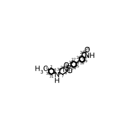 Cc1ccc(NC2CCN(S(=O)(=O)c3ccc(-c4ccc5c(c4)CC(=O)N5)cc3)CC2)cc1